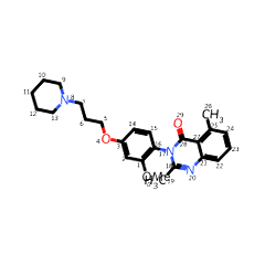 COc1cc(OCCCN2CCCCC2)ccc1-n1c(C)nc2cccc(C)c2c1=O